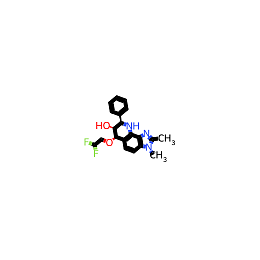 Cc1nc2c3c(ccc2n1C)[C@@H](OCC(F)F)[C@H](O)[C@@H](c1ccccc1)N3